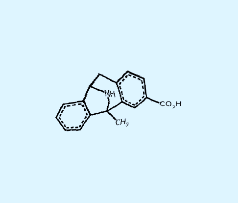 CC12NC(Cc3ccc(C(=O)O)cc31)c1ccccc12